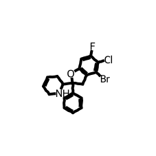 Fc1cc2c(c(Br)c1Cl)CC(c1ccccc1)(C1CC=CCN1)O2